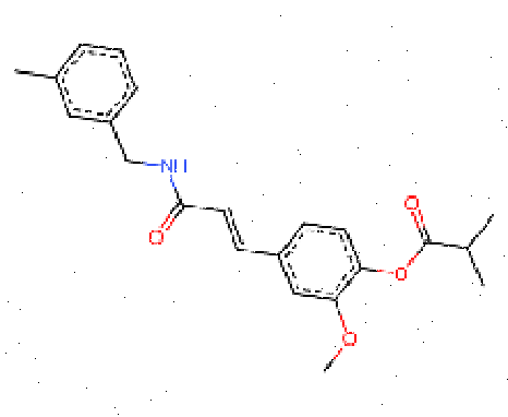 COc1cc(/C=C/C(=O)NCc2cccc(C)c2)ccc1OC(=O)C(C)C